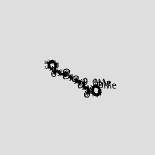 CO[C@H]1C#CCCN(C(=O)CCC(=O)OCCOCCOC(=O)CCC(=O)N2CCC#C[C@H](C)[C@@H](C)C2)C[C@@H]1OC